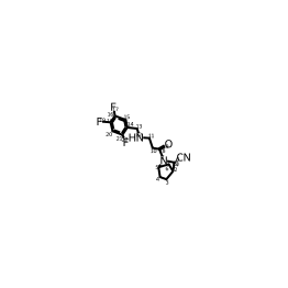 N#C[C@@H]1C2CCC(C2)N1C(=O)CCNCc1cc(F)c(F)cc1F